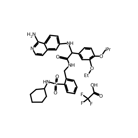 CCOc1cc(C(Nc2ccc3c(N)nccc3c2)C(=O)NCc2ccccc2S(=O)(=O)NC2CCCCC2)ccc1OC(C)C.O=C(O)C(F)(F)F